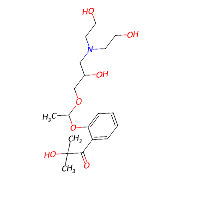 CC(OCC(O)CN(CCO)CCO)Oc1ccccc1C(=O)C(C)(C)O